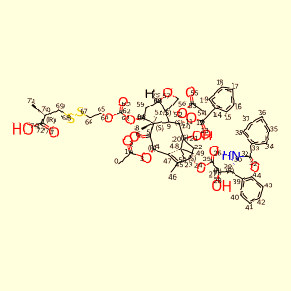 CC(=O)O[C@H]1C(=O)[C@@]2(C)C([C@H](OC(=O)c3ccccc3)[C@]3(O)C[C@H](OC(=O)[C@H](O)[C@H](NC(=O)c4ccccc4)c4ccccc4)C(C)=C1C3(C)C)[C@]1(OC(C)=O)CO[C@@H]1C[C@@H]2OC(=O)OCCSSC[C@H](C)C(=O)O